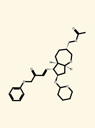 CC(=O)OC[C@H]1CC[C@@H]2[C@@H](C=CC(=O)COc3ccccc3)[C@H](OC3CCCCO3)C[C@@H]2OC1